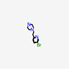 CN1CCN(CCc2ccc(Br)cn2)CC1